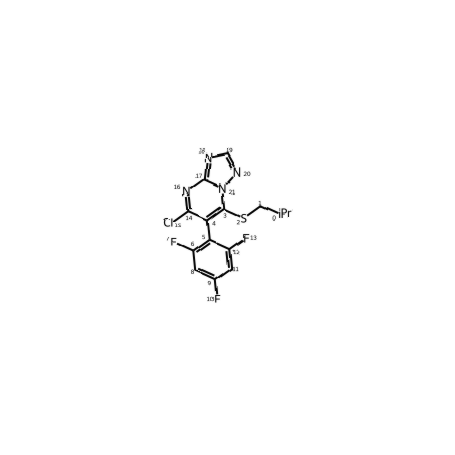 CC(C)CSc1c(-c2c(F)cc(F)cc2F)c(Cl)nc2ncnn12